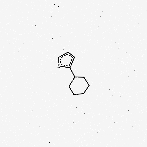 c1csc(C2CCCCC2)c1